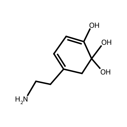 NCCC1=CC=C(O)C(O)(O)C1